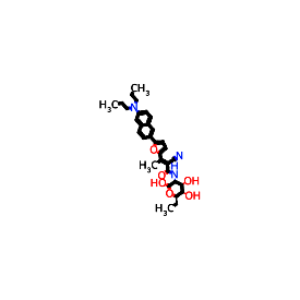 CCCN(CCC)c1ccc2cc(-c3ccc(/C(C)=C(\C#N)C(=O)N[C@H]4C(O)O[C@H](CC)[C@@H](O)[C@@H]4O)o3)ccc2c1